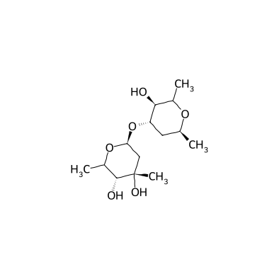 CC1O[C@@H](O[C@H]2C[C@H](C)OC(C)[C@@H]2O)C[C@](C)(O)[C@@H]1O